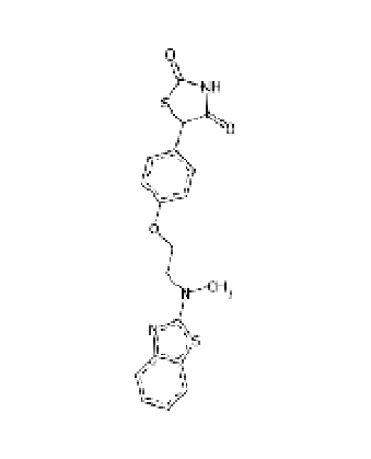 CN(CCOc1ccc(C2SC(=O)NC2=O)cc1)c1nc2ccccc2s1